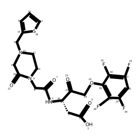 O=C(O)C[C@H](NC(=O)CN1CCN(Cc2cccs2)CC1=O)C(=O)COc1c(F)c(F)cc(F)c1F